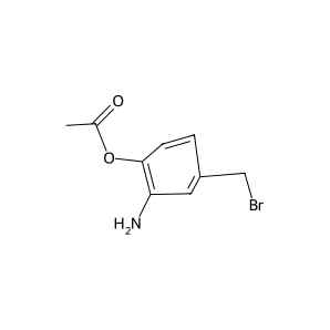 CC(=O)Oc1ccc(CBr)cc1N